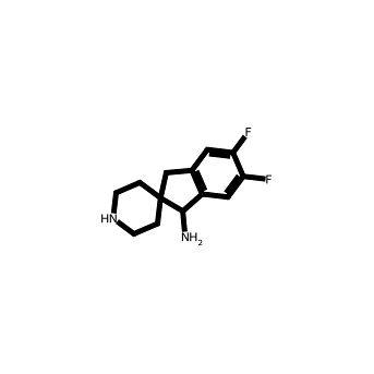 NC1c2cc(F)c(F)cc2CC12CCNCC2